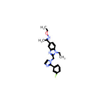 CCO/N=C(\C)c1ccc2c(c1)nc(Cn1ccnc1-c1cccc(F)c1)n2CC